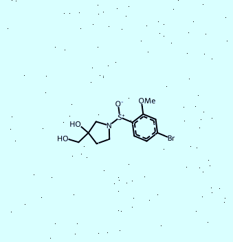 COc1cc(Br)ccc1[S+]([O-])N1CCC(O)(CO)C1